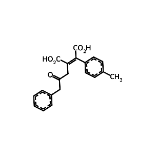 Cc1ccc(C(C(=O)O)=C(CC(=O)Cc2ccccc2)C(=O)O)cc1